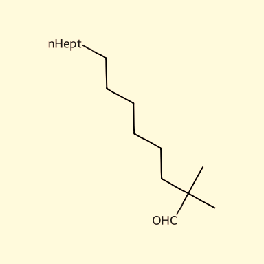 CCCCCCCCCCCCCC(C)(C)C=O